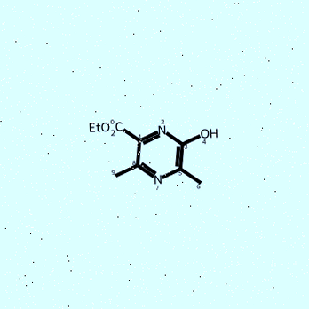 CCOC(=O)c1nc(O)c(C)nc1C